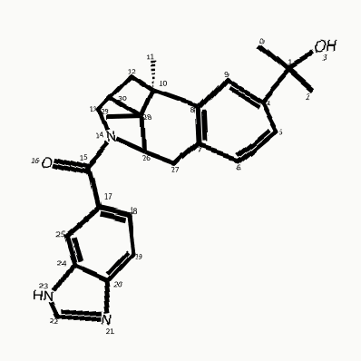 CC(C)(O)c1ccc2c(c1)[C@]1(C)CCN(C(=O)c3ccc4nc[nH]c4c3)C(C2)C1(C)C